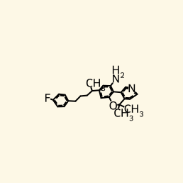 CC(CCCc1ccc(F)cc1)c1cc(N)c2c(c1)OC(C)(C)c1ccncc1-2